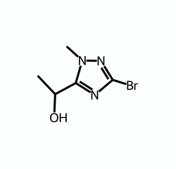 CC(O)c1nc(Br)nn1C